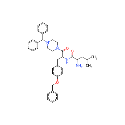 CC(C)CC(N)C(=O)NC(Cc1ccc(OCc2ccccc2)cc1)C(=O)N1CCN(C(c2ccccc2)c2ccccc2)CC1